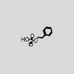 O=S(=O)(O)OCCc1cc[c]cc1